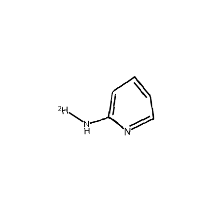 [2H]Nc1ccccn1